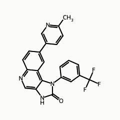 Cc1ccc(-c2ccc3ncc4[nH]c(=O)n(-c5cccc(C(F)(F)F)c5)c4c3c2)cn1